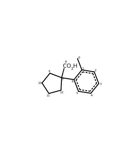 Cc1ccccc1C1(C(=O)O)CCCC1